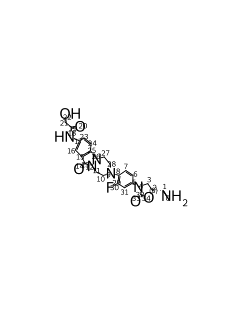 NC[C@H]1CN(c2ccc(N3CCn4c(=O)c5cc(NC(=O)CO)ccc5n4CC3)c(F)c2)C(=O)O1